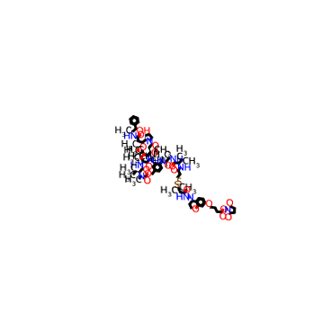 CC[C@H](C)[C@@H]([C@@H](CC(=O)N1CCC[C@H]1[C@H](OC)[C@@H](C)C(=O)N[C@H](C)[C@@H](O)c1ccccc1)OC)N(C)C(=O)[C@@H](NC(=O)[C@H](C(C)C)N(C)C(=O)OCc1ccc(NC(=O)[C@H](C)NC(=O)[C@@H](NC(=O)CCSSC(C)(C)CC(=O)N/N=C2\CCOc3cc(OCCCC(=O)ON4C(=O)CCC4=O)ccc32)C(C)C)cc1)C(C)C